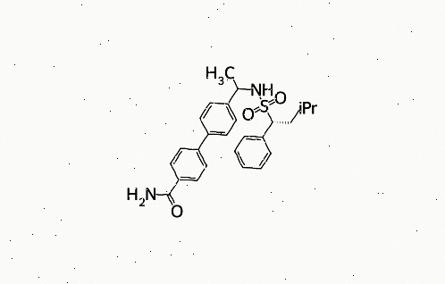 CC(C)C[C@H](c1ccccc1)S(=O)(=O)NC(C)c1ccc(-c2ccc(C(N)=O)cc2)cc1